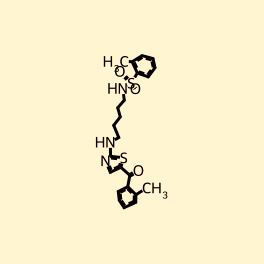 Cc1ccccc1C(=O)c1cnc(NCCCCCNS(=O)(=O)c2ccccc2C)s1